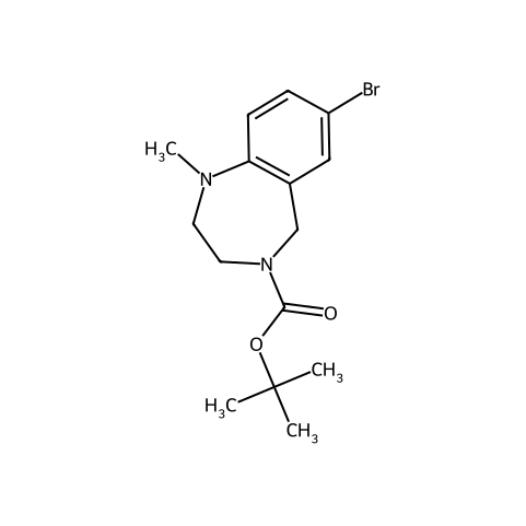 CN1CCN(C(=O)OC(C)(C)C)Cc2cc(Br)ccc21